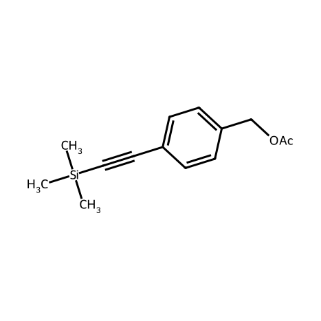 CC(=O)OCc1ccc(C#C[Si](C)(C)C)cc1